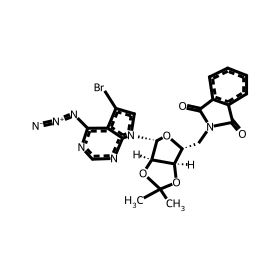 CC1(C)O[C@@H]2[C@H](O1)[C@@H](CN1C(=O)c3ccccc3C1=O)O[C@H]2n1cc(Br)c2c(N=[N+]=[N-])ncnc21